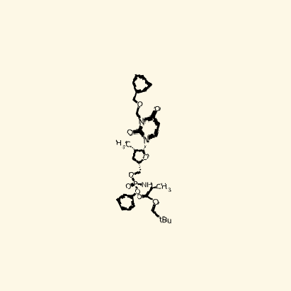 C[C@H](NP(=O)(OC[C@@H]1C[C@H](C)[C@H](n2ccc(=O)n(COCc3ccccc3)c2=O)O1)Oc1ccccc1)C(=O)OCC(C)(C)C